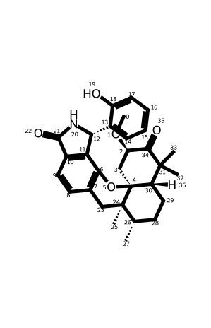 CO[C@@H]1C[C@@]23Oc4c(ccc5c4[C@@H](c4ccccc4O)NC5=O)C[C@]2(C)[C@@H](C)CC[C@H]3C(C)(C)C1=O